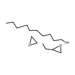 C1CO1.CCC1CO1.CCCCCCCCCCO